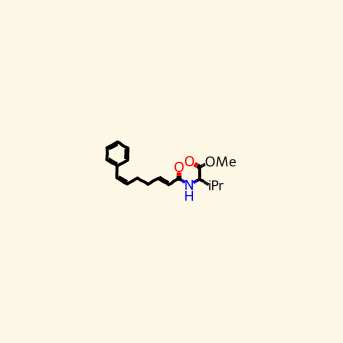 COC(=O)C(NC(=O)/C=C/CC/C=C\c1ccccc1)C(C)C